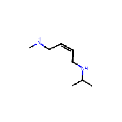 CNC/C=C\CNC(C)C